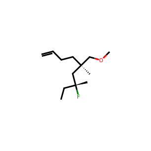 C=CCC[C@@](C)(COC)C[C@](C)(F)CC